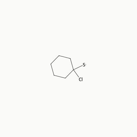 [S]C1(Cl)CCCCC1